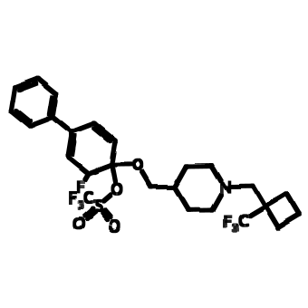 O=S(=O)(OC1(OCC2CCN(CC3(C(F)(F)F)CCC3)CC2)C=CC(c2ccccc2)=CC1F)C(F)(F)F